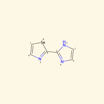 c1c[nH]c(-c2ncc[se]2)n1